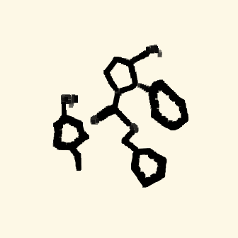 Cc1ccc(S(=O)(=O)O)cc1.N[C@@H]1CCN(C(=O)OCc2ccccc2)[C@H]1c1ccccc1